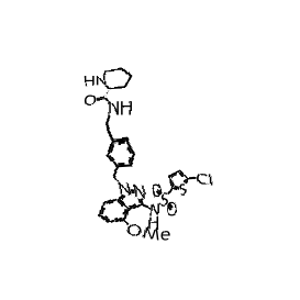 COc1cccc2c1c(NS(=O)(=O)c1ccc(Cl)s1)nn2Cc1cccc(CNC(=O)[C@H]2CCCCN2)c1